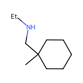 CCNCC1(C)CCCCC1